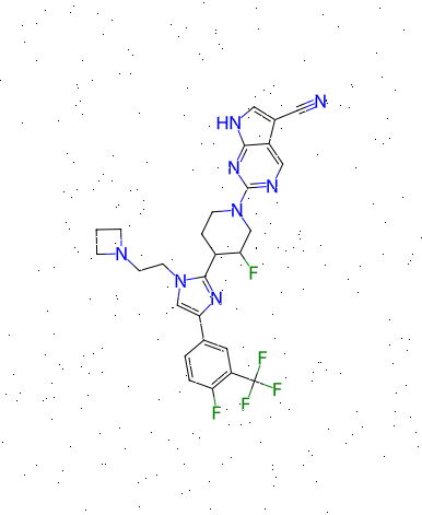 N#Cc1c[nH]c2nc(N3CCC(c4nc(-c5ccc(F)c(C(F)(F)F)c5)cn4CCN4CCC4)C(F)C3)ncc12